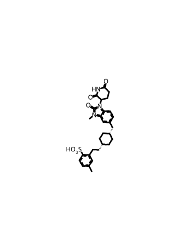 Cc1ccc(S(=O)(=O)O)c(CC[C@H]2CC[C@@H](Cc3ccc4c(c3)n(C)c(=O)n4C3CCC(=O)NC3=O)CC2)c1